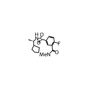 CNC(=O)c1cc(S(=O)(=O)N[C@H](C)C2CCCC2)ccc1F